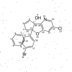 O[C@@]12C=C[C@@H](c3ccccc3)C1(c1ccc(Br)cc1)Oc1cc(Cl)cnc12